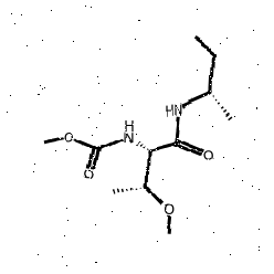 CC[C@H](C)NC(=O)[C@@H](NC(=O)OC)[C@@H](C)OC